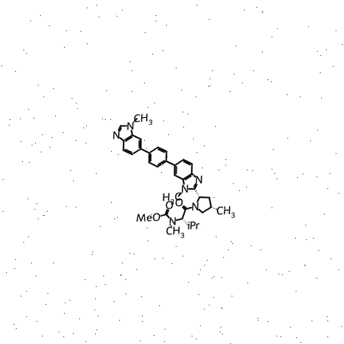 COC(=O)N(C)[C@H](C(=O)N1C[C@@H](C)C[C@H]1c1nc2ccc(-c3ccc(-c4ccc5ncn(C)c5c4)cc3)cc2n1C)C(C)C